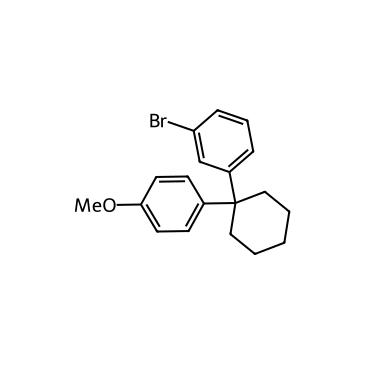 COc1ccc(C2(c3cccc(Br)c3)CCCCC2)cc1